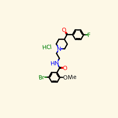 COc1ccc(Br)cc1C(=O)NCCN1CCC(C(=O)c2ccc(F)cc2)CC1.Cl